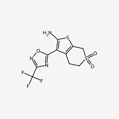 Nc1sc2c(c1-c1nc(C(F)(F)F)no1)CCS(=O)(=O)C2